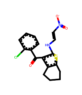 O=C(c1ccccc1Cl)c1c(NC=C[N+](=O)[O-])sc2c1CCCC2